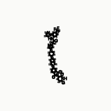 CC(C)(C(=O)Nc1ccc(C(F)(F)F)cc1-n1cccn1)n1cc(N2CCC(N3CC4CN(c5ccc6c(c5)C(=O)N(C5CCC(=O)NC5=O)C6=O)CC4C3)CC2)cn1